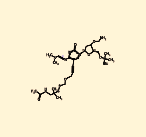 CN(C)/C=N/c1nc(=O)n([C@H]2CC(OCN)[C@@H](CO[Si](C)(C)C(C)(C)C)O2)cc1C#CCOCSSC(C)(C)CNC(=O)C(F)(F)F